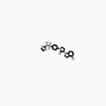 O=C1[C@H](N2CCc3c(Cl)cccc32)CCN1c1ccc(S(=O)(=O)Nc2nccs2)cc1